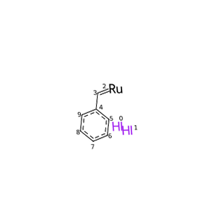 I.I.[Ru]=[CH]c1ccccc1